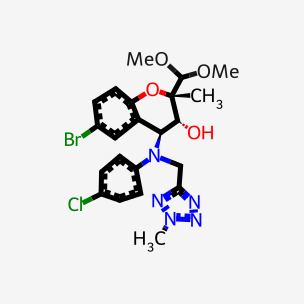 COC(OC)[C@@]1(C)Oc2ccc(Br)cc2[C@H](N(Cc2nnn(C)n2)c2ccc(Cl)cc2)[C@H]1O